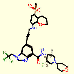 C[C@H]1CN(C2CCOCC2)C[C@H](F)[C@@H]1NC(=O)c1cc(C#CCNc2ccc(S(C)(=O)=O)c3c2OCCC3)cc2c1ncn2CC(F)(F)F